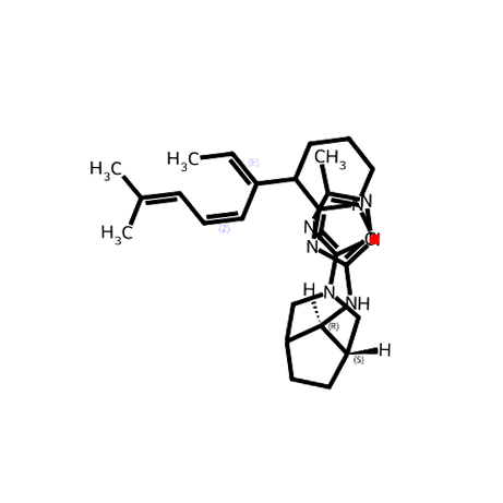 C/C=C(\C=C/C=C(C)C)C1CCCn2nc(N[C@@H]3C4CC[C@H]3CN(c3nc(C)no3)C4)nc21